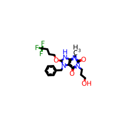 Cn1c2c(c(=O)n(CCCO)c1=O)N(Cc1ccccc1)C(OCCCC(F)(F)F)N2